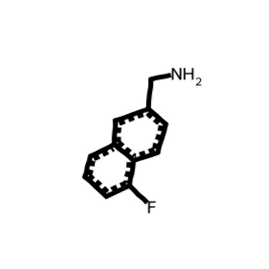 NCc1ccc2c(F)cccc2c1